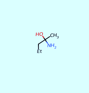 CCCC(C)(N)O